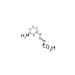 NC1CCCC(C/C=C/C(=O)O)C1